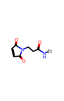 [CH2]CNC(=O)CCN1C(=O)C=CC1=O